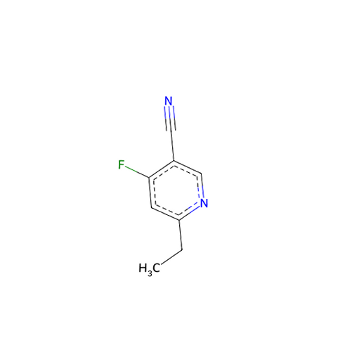 CCc1cc(F)c(C#N)cn1